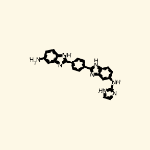 Nc1ccc2[nH]c(-c3ccc(-c4nc5cc(Nc6ncc[nH]6)ccc5[nH]4)cc3)nc2c1